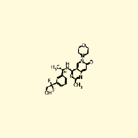 Cc1nc(N[C@H](C)c2cccc(C(F)(F)CO)c2)c2cn(N3CCOCC3)c(=O)cc2n1